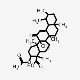 CC(=O)OC1CCC2(C)C(CCC3C4(C)CCC5(C)CCC(C)C(C)C5C4=CC(=O)C32C)C1(C)C(=O)O